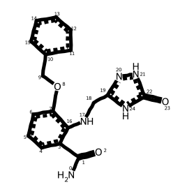 NC(=O)c1cccc(OCc2ccccc2)c1NCc1n[nH]c(=O)[nH]1